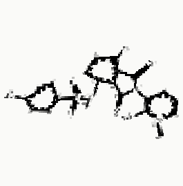 COc1c(N2C(=O)c3c(Cl)ccc(NS(=O)(=O)c4ccc(C(C)(C)C)cc4)c3C2=O)ccc[n+]1C